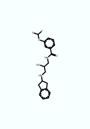 O=C(NCC(O)CNC1Cc2ccccc2C1)c1cccc(OC(F)F)c1